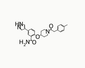 Cc1ccc(CC(=O)N2CCC(Oc3ccc(-c4cn[nH]c4)cc3C(N)=O)CC2)cc1